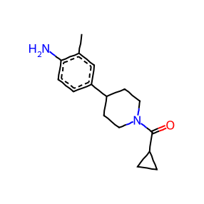 Cc1cc(C2CCN(C(=O)C3CC3)CC2)ccc1N